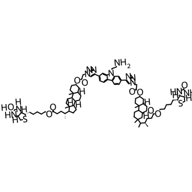 CC([C@H](C)CCC(=O)OCCCCC[C@@H]1SC[C@@H]2NC(=O)N[C@@H]21)C1(C)CCC2[C@@H](CC[C@H]3C[C@H](OC(=O)Cn4cc(-c5ccc6c7ccc(-c8cn(CC(=O)O[C@@H]9CCC%10(C)C%11CCC%12(C)C([C@H](C)CCC(=O)OCCCCC[C@@H]%13SC[C@@H]%14NC(O)N[C@@H]%14%13)CC[C@H]%12[C@@H]%11CC[C@@H]%10C9)nn8)cc7n(CCN)c6c5)nn4)CCC23C)C1